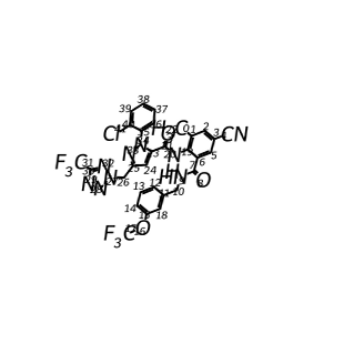 Cc1cc(C#N)cc(C(=O)NCc2cccc(OC(F)(F)F)c2)c1NC(=O)c1cc(Cn2nnc(C(F)(F)F)n2)nn1-c1ccccc1Cl